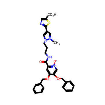 C[n+]1cc(-c2ncc(C(=O)O)s2)cn1CCCNC(=O)c1cc(OCc2ccccc2)c(OCc2ccccc2)c[n+]1[O-]